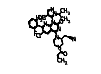 C=CC(=O)N1CCN(c2nc(=O)n(-c3c(C)cnn3C(C)C)c3nc(-c4c(O)cccc4F)c(Cl)cc23)[C@@H](CC#N)C1